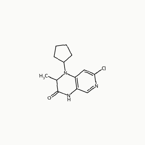 CC1C(=O)Nc2cnc(Cl)cc2N1C1CCCC1